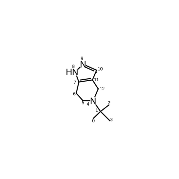 CC(C)(C)N1CCc2[nH]n[c]c2C1